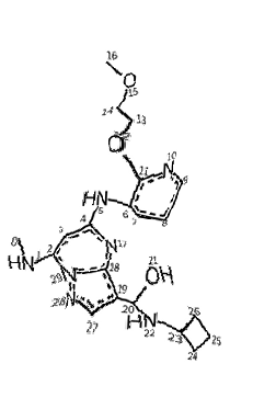 CNc1cc(Nc2cccnc2OCCOC)nc2c(C(O)NC3CCC3)cnn12